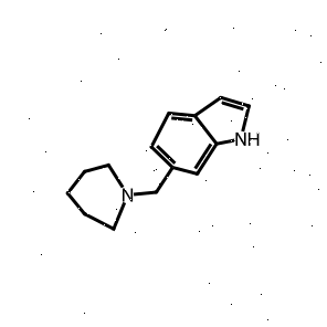 c1cc2ccc(CN3CCCCC3)cc2[nH]1